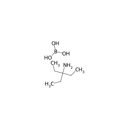 CCC(N)(CC)CC.OB(O)O